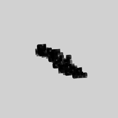 COc1cc(C(C)(C)c2cnc(SCc3c(F)cc(S(=O)(=O)N(CCC[n+]4ccn(C)c4)[C@H](C)C(=O)O)cc3Cl)n2-c2ccc(F)cc2)ccc1Cl